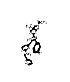 CC(=O)NCC1(C)COC(c2nc(-c3ccc(F)cc3)c(-c3ccnc(NCc4ccco4)n3)[nH]2)OC1